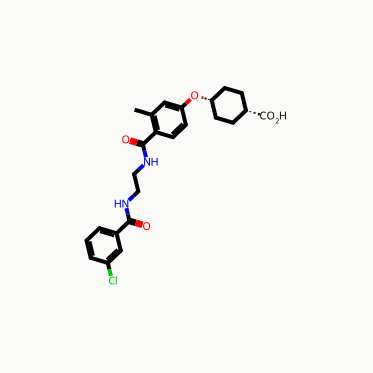 Cc1cc(O[C@H]2CC[C@@H](C(=O)O)CC2)ccc1C(=O)NCCNC(=O)c1cccc(Cl)c1